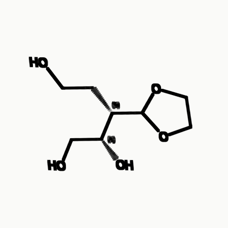 OCC[C@H](C1OCCO1)[C@H](O)CO